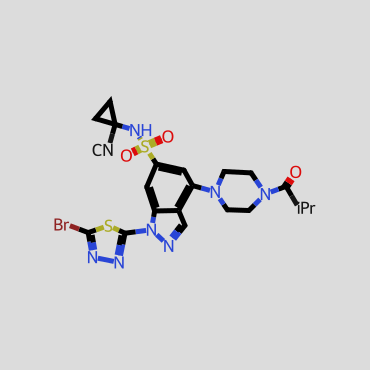 CC(C)C(=O)N1CCN(c2cc(S(=O)(=O)NC3(C#N)CC3)cc3c2cnn3-c2nnc(Br)s2)CC1